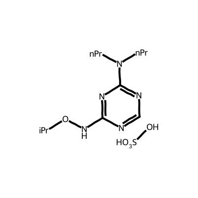 CCCN(CCC)c1ncnc(NOC(C)C)n1.O=S(=O)(O)O